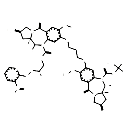 C=C1C[C@H]2C(O)N(C(=O)OC[C@@H](C)SSc3ncccc3[N+](=O)[O-])c3cc(OCCCOc4cc5c(cc4OC)C(=O)N4CC(=C)C[C@H]4[C@H](O)N5C(=O)OC(C)(C)C)c(OC)cc3C(=O)N2C1